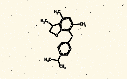 Cc1cc(C)c2c(c1Cc1ccc(C(C)C)cc1)OCC2C